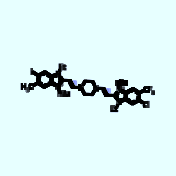 CCCC[n+]1c(/C=C/N2CCN(/C=C/c3n(CC)c4cc(Cl)c(C(F)(F)F)cc4[n+]3CCCC)CC2)n(CC)c2cc(I)c(C)cc21